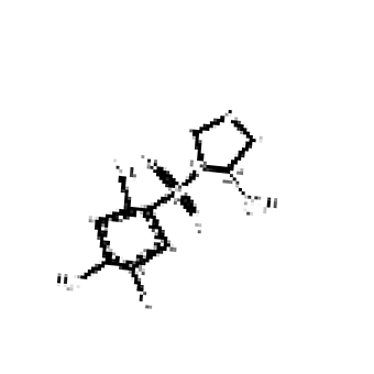 Cc1cc(N)c(S(=O)(=O)N2CSC[C@@H]2C(=O)O)cc1Cl